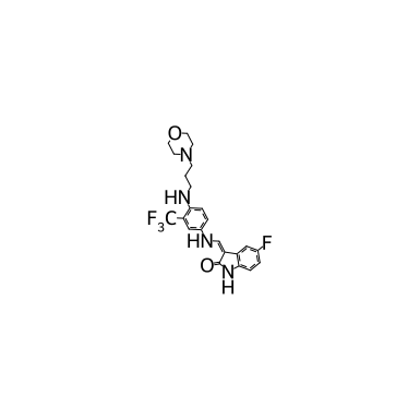 O=C1Nc2ccc(F)cc2/C1=C/Nc1ccc(NCCCN2CCOCC2)c(C(F)(F)F)c1